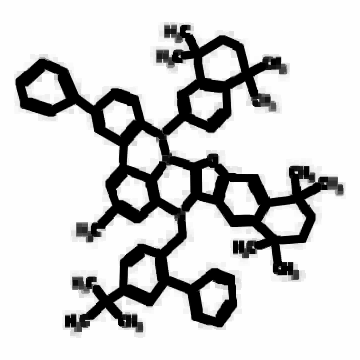 Cc1cc2c3c(c1)N(Cc1ccc(C(C)(C)C)cc1-c1ccccc1)c1c(oc4cc5c(cc14)C(C)(C)CCC5(C)C)B3N(c1ccc3c(c1)C(C)(C)CCC3(C)C)c1ccc(-c3ccccc3)cc1-2